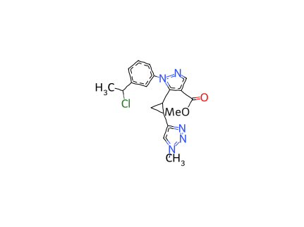 COC(=O)c1cnn(-c2cccc(C(C)Cl)c2)c1C1CC1c1cn(C)nn1